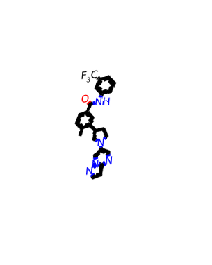 Cc1ccc(C(=O)Nc2cccc(C(F)(F)F)c2)cc1C1CCN(c2cnc3ccnn3c2)C1